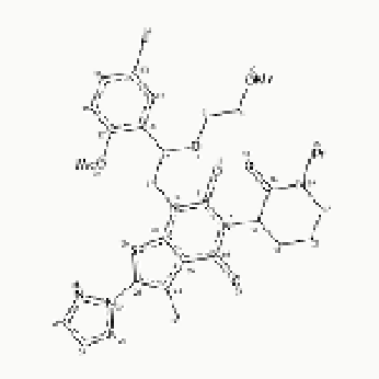 COCCOC(Cn1c(=O)n(C2CCCN(C(C)C)C2=O)c(=O)c2c(C)c(-n3nccn3)sc21)c1cc(F)ccc1OC